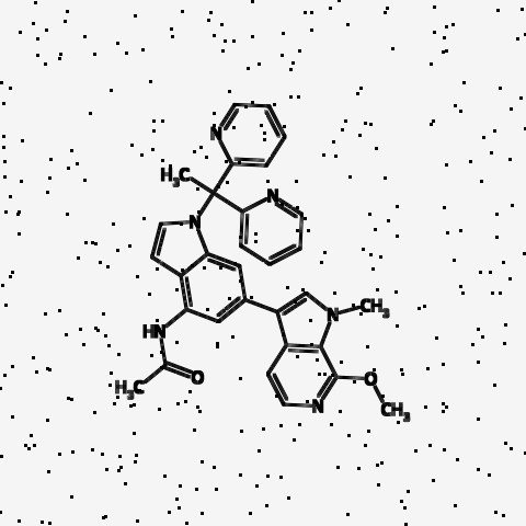 COc1nccc2c(-c3cc(NC(C)=O)c4ccn(C(C)(c5ccccn5)c5ccccn5)c4c3)cn(C)c12